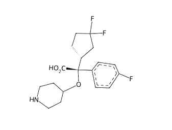 O=C(O)[C@](OC1CCNCC1)(c1ccc(F)cc1)[C@@H]1CCC(F)(F)C1